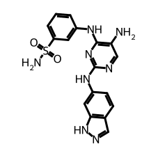 Nc1cnc(Nc2ccc3cn[nH]c3c2)nc1Nc1cccc(S(N)(=O)=O)c1